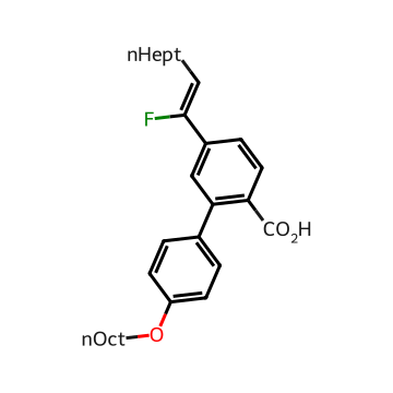 CCCCCCCC=C(F)c1ccc(C(=O)O)c(-c2ccc(OCCCCCCCC)cc2)c1